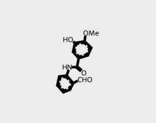 COc1ccc(C(=O)Nc2ccccc2C=O)cc1O